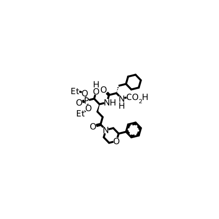 CCOP(=O)(OCC)C(O)[C@H](CCC(=O)N1CCOC(c2ccccc2)C1)NC(=O)[C@H](CC1CCCCC1)NC(=O)O